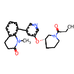 CCC(=O)N1CCC[C@H](Oc2cncc(-c3cccc4c3N(C)C(=O)CC4)c2)C1